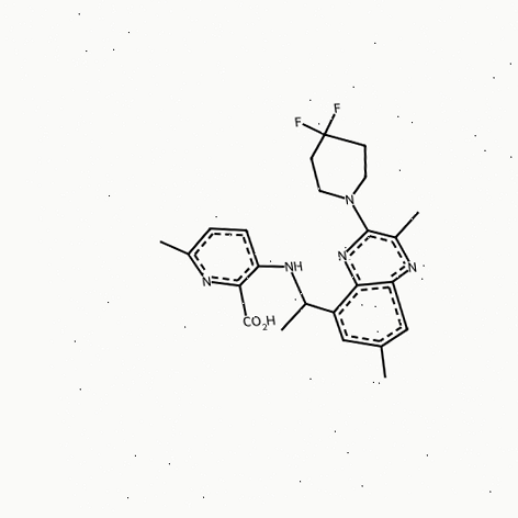 Cc1cc(C(C)Nc2ccc(C)nc2C(=O)O)c2nc(N3CCC(F)(F)CC3)c(C)nc2c1